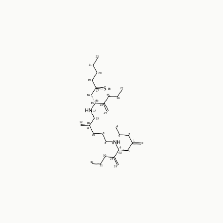 C=C(CCC)C[C@H](NCCC[C@@H](C)CN[C@H](CC(=S)CCCC)C(=C)CCC)C(=C)CCC